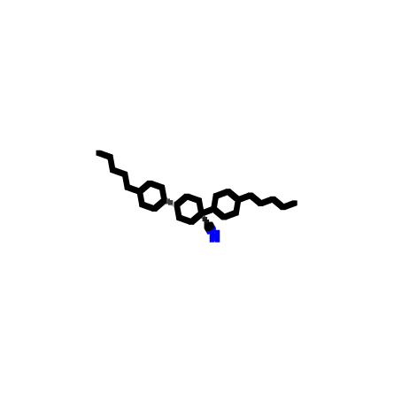 CCCCCC1CCC([C@H]2CC[C@](C#N)(C3CCC(CCCCC)CC3)CC2)CC1